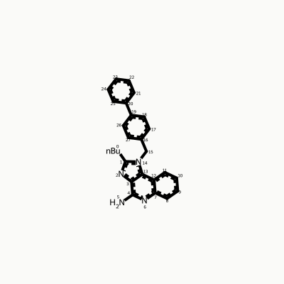 CCCCc1nc2c(N)nc3ccccc3c2n1Cc1ccc(-c2ccccc2)cc1